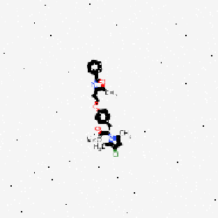 COC(=O)[C@H](Cc1ccc(OCCc2nc(-c3ccccc3)oc2C)cc1)n1c(C)cc(Cl)c1C